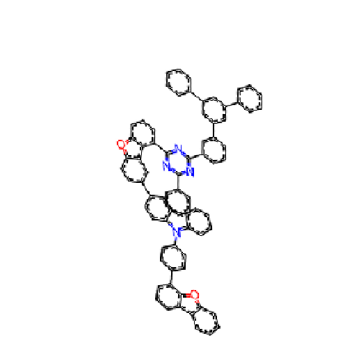 c1ccc(-c2cc(-c3ccccc3)cc(-c3cccc(-c4nc(-c5ccccc5)nc(-c5cccc6oc7ccc(-c8ccc9c(c8)c8ccccc8n9-c8ccc(-c9cccc%10c9oc9ccccc9%10)cc8)cc7c56)n4)c3)c2)cc1